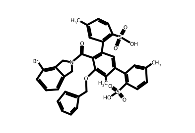 Cc1ccc(S(=O)(=O)O)c(-c2cc(-c3cc(C)ccc3S(=O)(=O)O)c(C(=O)N3Cc4cccc(Br)c4C3)c(OCc3ccccc3)c2C)c1